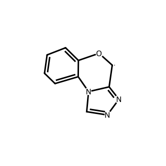 [CH]1Oc2ccccc2-n2cnnc21